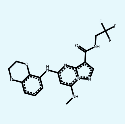 CNc1cc(Nc2cccc3c2OCCO3)nc2c(C(=O)NCC(F)(F)F)cnn12